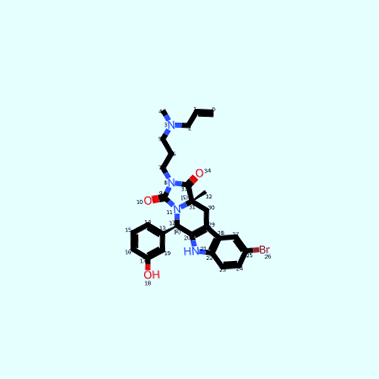 C=CCN(C)CCCN1C(=O)N2[C@H](c3cccc(O)c3)c3[nH]c4ccc(Br)cc4c3C[C@@]2(C)C1=O